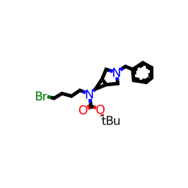 CC(C)(C)OC(=O)N(CCCCBr)C1C2CN(Cc3ccccc3)CC21